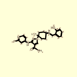 CC1(n2cc(C(N)=O)c(Nc3ccnc(F)c3)n2)CCC(NCc2ccccc2O)CC1